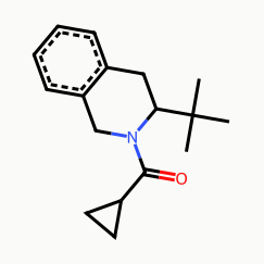 CC(C)(C)C1Cc2ccccc2CN1C(=O)C1CC1